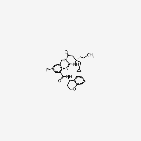 CCC[C@@]1(CC2CC2)CC(=O)N(Cc2cc(F)cc(C(=O)N[C@@H]3CCOc4ccccc43)c2)C(=N)N1